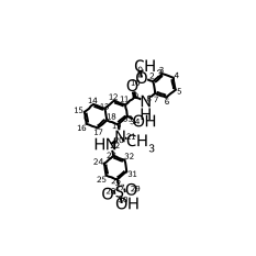 COc1ccccc1NC(=O)c1cc2ccccc2c(N(C)Nc2ccc(S(=O)(=O)O)cc2)c1O